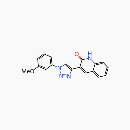 COc1cccc(-n2cc(-c3cc4ccccc4[nH]c3=O)nn2)c1